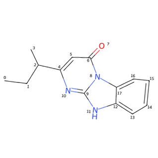 CCC(C)c1cc(=O)n2c(n1)[nH]c1ccccc12